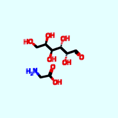 NCC(=O)O.O=C[C@H](O)[C@@H](O)[C@@H](O)[C@H](O)CO